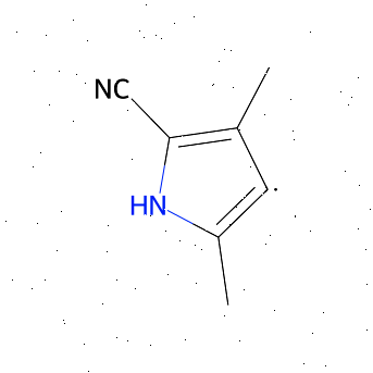 Cc1[c]c(C)c(C#N)[nH]1